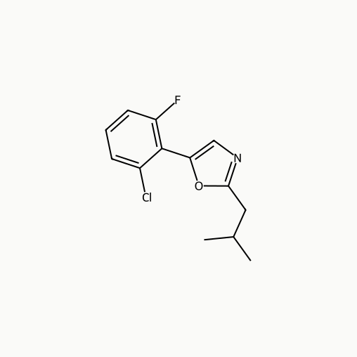 CC(C)Cc1ncc(-c2c(F)cccc2Cl)o1